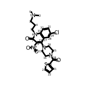 CN(C)CCCn1c(=O)c([N+](=O)[O-])c(N2CCN(C(=O)c3cccs3)CC2)c2cc(Cl)ccc21